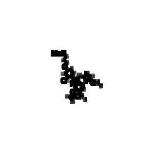 CNCCCOc1ccc(-c2nc3c(OC4(C)CC4)ncnc3n2Cc2ncc(C)s2)c(Cl)c1